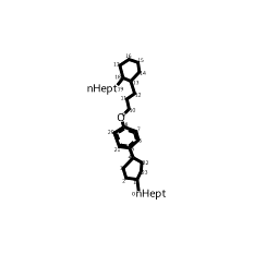 CCCCCCCC1CCC(c2ccc(OCCCC3CCCCC3CCCCCCC)cc2)CC1